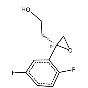 OCC[C@]1(c2cc(F)ccc2F)CO1